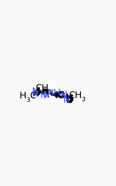 Cc1cccnc1CN1CCC2(CC1)CC(CNc1ccc(-c3cn(C)nc3C)nn1)C2